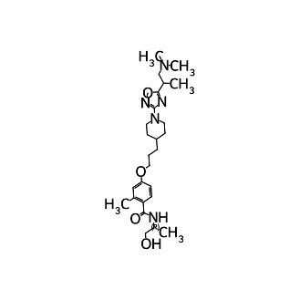 Cc1cc(OCCCC2CCN(c3noc(C(C)CN(C)C)n3)CC2)ccc1C(=O)N[C@H](C)CO